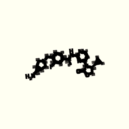 C[C@H](Nc1nccc(N2C(=O)OC[C@@H]2C2CC2)n1)c1ccc(CN2CC3C(N)C3C2)c(F)c1